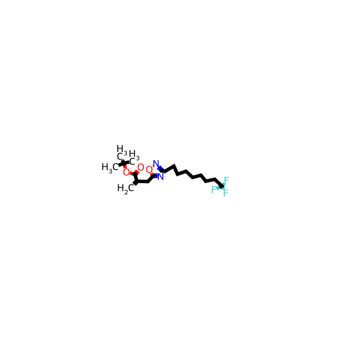 C=C(Cc1nc(CCCCCCCC(F)(F)F)no1)C(=O)OC(C)(C)C